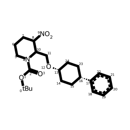 CC(C)(C)OC(=O)N1CCCC([N+](=O)[O-])C1CO[C@H]1CC[C@@H](c2ccccc2)CC1